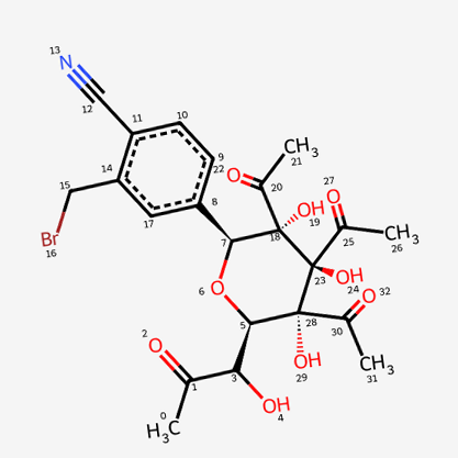 CC(=O)C(O)[C@H]1O[C@@H](c2ccc(C#N)c(CBr)c2)[C@@](O)(C(C)=O)[C@](O)(C(C)=O)[C@@]1(O)C(C)=O